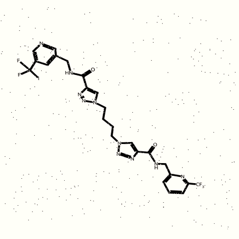 O=C(NCc1cncc(C(F)(F)I)c1)c1cn(CCCCn2cc(C(=O)NCc3cccc(C(F)(F)F)n3)nn2)nn1